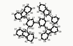 c1ccc(-c2nc3ccccc3n2-c2cc(-c3cc(-n4c5ccccc5c5ccccc54)cc(-n4c5ccccc5c5ccccc54)c3)cc(-n3c4ccccc4c4ccccc43)c2)cc1